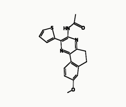 COc1ccc2c(c1)CCc1nc(NC(C)=O)c(-c3cccs3)nc1-2